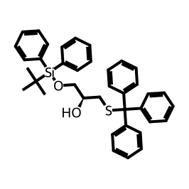 CC(C)(C)[Si](OC[C@H](O)CSC(c1ccccc1)(c1ccccc1)c1ccccc1)(c1ccccc1)c1ccccc1